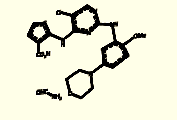 COc1ccc(N2CCOCC2)cc1Nc1ncc(Cl)c(Nc2sccc2C(=O)O)n1.NC=O